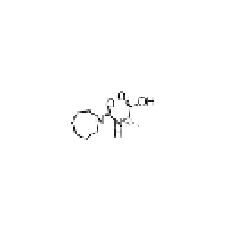 C[C@H](NC(=O)N1CCCCCC1)C(=O)O